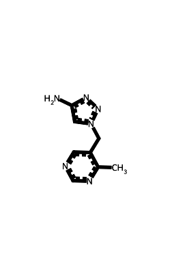 Cc1ncncc1Cn1cc(N)nn1